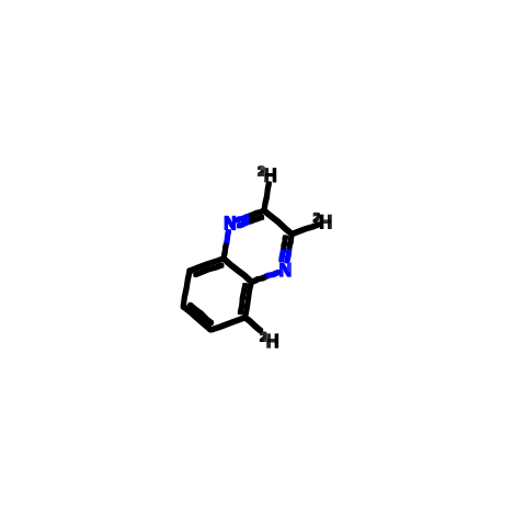 [2H]c1nc2cccc([2H])c2nc1[2H]